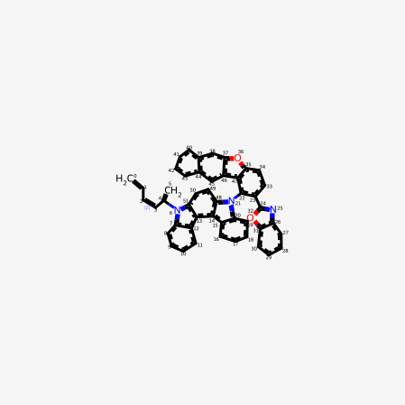 C=C/C=C\C(=C)n1c2ccccc2c2c3c4ccccc4n(-c4c(-c5nc6ccccc6o5)ccc5oc6cc7ccccc7cc6c45)c3ccc21